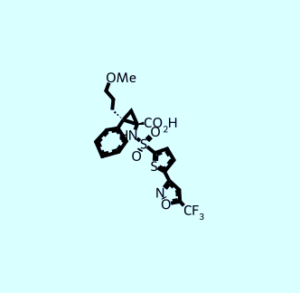 COCCC[C@]1(c2ccccc2)C[C@@]1(NS(=O)(=O)c1ccc(-c2cc(C(F)(F)F)on2)s1)C(=O)O